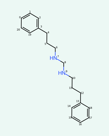 c1ccc(CCCNCNCCCc2ccccc2)cc1